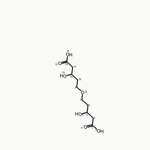 O=C(O)CC(O)CCOCCC(O)CC(=O)O